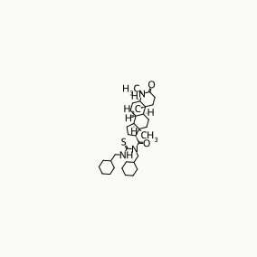 CN1C(=O)CC[C@]2(C)[C@H]3CC[C@]4(C)[C@@H](C(=O)N(CC5CCCCC5)C(=S)NCC5CCCCC5)CC[C@H]4[C@@H]3CC[C@@H]12